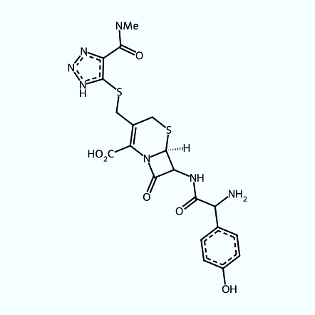 CNC(=O)c1nn[nH]c1SCC1=C(C(=O)O)N2C(=O)C(NC(=O)C(N)c3ccc(O)cc3)[C@@H]2SC1